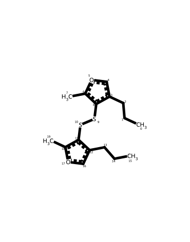 CCCc1coc(C)c1SSc1c(CCC)coc1C